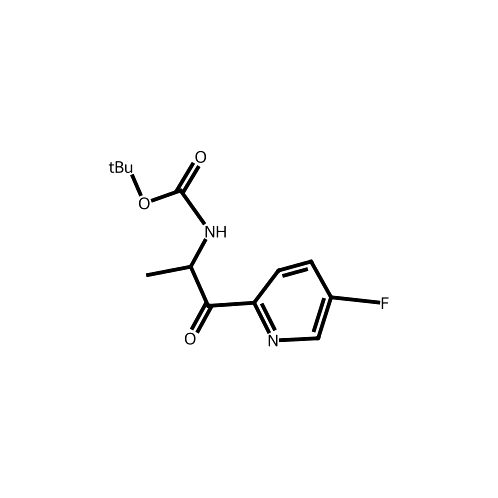 CC(NC(=O)OC(C)(C)C)C(=O)c1ccc(F)cn1